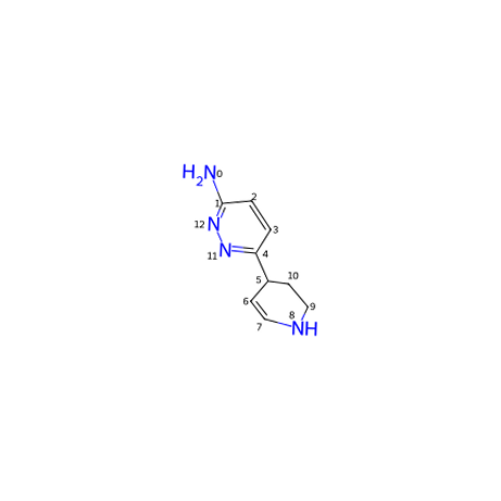 Nc1ccc(C2C=CNCC2)nn1